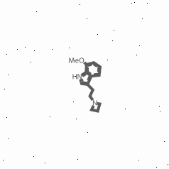 COc1cccc2c(CCN3CCC3)c[nH]c12